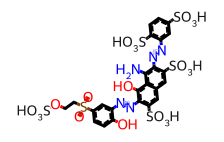 Nc1c(/N=N/c2cc(S(=O)(=O)O)ccc2S(=O)(=O)O)c(S(=O)(=O)O)cc2cc(S(=O)(=O)O)c(/N=N/c3cc(S(=O)(=O)CCOS(=O)(=O)O)ccc3O)c(O)c12